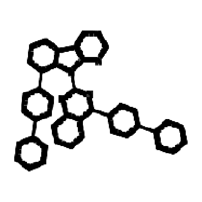 c1ccc(-c2ccc(-c3nc(-n4c5ncccc5c5cccc(-c6ccc(-c7ccccc7)cc6)c54)nc4ccccc34)cc2)cc1